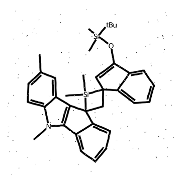 Cc1ccc2c(c1)c1c(n2C)-c2ccccc2C12CC1(C=C(O[Si](C)(C)C(C)(C)C)c3ccccc31)[Si]2(C)C